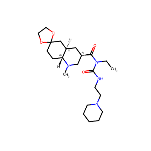 CCN(C(=O)NCCN1CCCCC1)C(=O)[C@@H]1C[C@@H]2CC3(CC[C@H]2N(C)C1)OCCO3